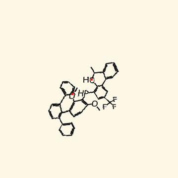 COc1ccc(-c2c(-c3ccccc3)cccc2-c2ccccc2)c(OC)c1Pc1cc(C(F)(F)F)cc(-c2ccccc2C(C)C)c1O